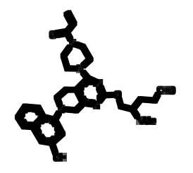 C=CC(=O)N1CCN(c2nc(OCC(CCC=O)NC)nc3c2CCN(c2cc(O)cc4ccccc24)C3)CC1